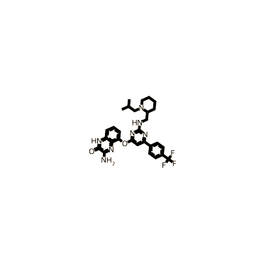 CC(C)CN1CCCCC1CNc1nc(Oc2cccc3[nH]c(=O)c(N)nc23)cc(-c2ccc(C(F)(F)F)cc2)n1